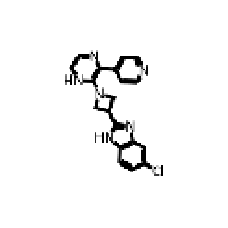 Clc1ccc2[nH]c(C3CN(C4=C(c5ccncc5)N=CCN4)C3)nc2c1